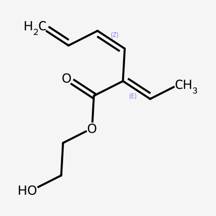 C=C/C=C\C(=C/C)C(=O)OCCO